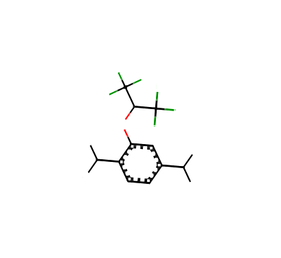 CC(C)c1ccc(C(C)C)c(OC(C(F)(F)F)C(F)(F)F)c1